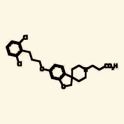 O=C(O)CCN1CCC2(CC1)COc1cc(OCCCc3c(Cl)cccc3Cl)ccc12